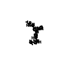 Cc1ccncc1-c1ccc2[nH]nc(-c3cc4nc(-n5nc(-c6cc7ncccc7[nH]6)c6nc(-c7cncc(NC(=O)CC(C)C)c7)ccc65)ccc4[nH]3)c2n1